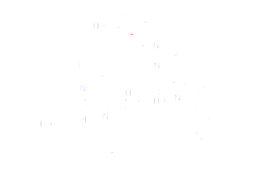 CCCSc1nc(Cl)ccc1C(=O)N(C)C1CCOCC1.CCCSc1nc(N2CCC[C@H](OC(C)=O)C2)ccc1C(=O)N(C)C1CCOCC1